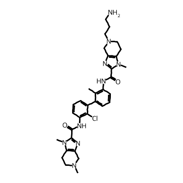 Cc1c(NC(=O)c2nc3c(n2C)CCN(CCCN)C3)cccc1-c1cccc(NC(=O)c2nc3c(n2C)CCN(C)C3)c1Cl